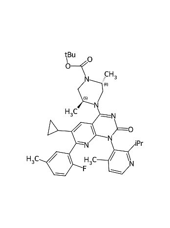 Cc1ccc(F)c(-c2nc3c(cc2C2CC2)c(N2C[C@@H](C)N(C(=O)OC(C)(C)C)C[C@@H]2C)nc(=O)n3-c2c(C)ccnc2C(C)C)c1